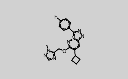 Cn1ncnc1COc1nn2c(-c3ccc(F)cc3)nnc2cc1C1CCC1